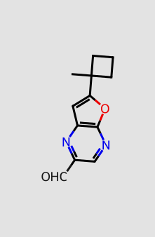 CC1(c2cc3nc(C=O)cnc3o2)CCC1